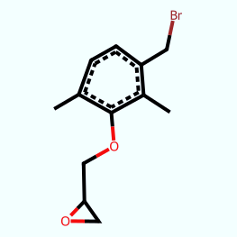 Cc1ccc(CBr)c(C)c1OCC1CO1